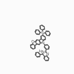 N=C(c1ccccc1)c1ccccc1/N=C/c1cccc(-n2c3ccc([Si](c4ccccc4)(c4ccccc4)c4ccccc4)cc3c3cc4oc5ccccc5c4cc32)c1